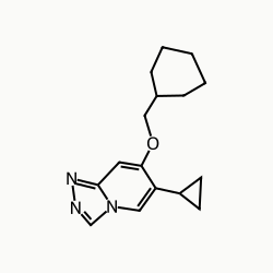 c1c(OCC2CCCCC2)c(C2CC2)cn2cnnc12